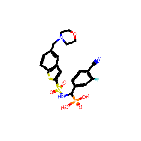 N#Cc1ccc(C(NS(=O)(=O)c2cc3cc(CN4CCOCC4)ccc3s2)P(=O)(O)O)cc1F